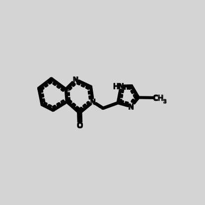 Cc1c[nH]c(Cn2cnc3ccccc3c2=O)n1